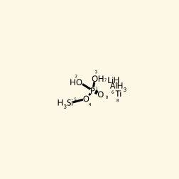 O=P(O)(O)O[SiH3].[AlH3].[LiH].[Ti]